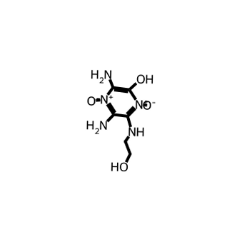 Nc1c(O)[n+]([O-])c(NCCO)c(N)[n+]1[O-]